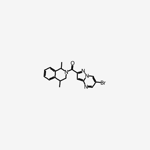 CC1CN(C(=O)c2cc3ncc(Br)cn3n2)C(C)c2ccccc21